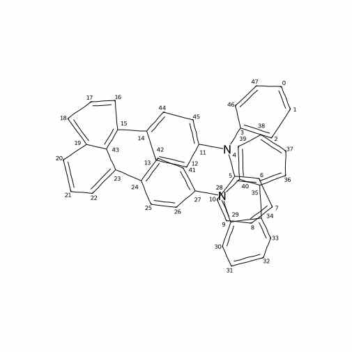 c1ccc(N(c2ccccc2)c2ccc(-c3cccc4cccc(-c5ccc(-n6c7ccccc7c7ccccc76)cc5)c34)cc2)cc1